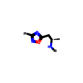 CCN[C@@H](C)Cc1nc(C(C)C)no1